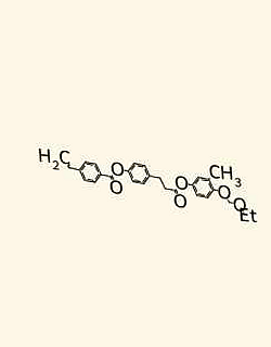 C=Cc1ccc(C(=O)Oc2ccc(CCC(=O)Oc3ccc(OCOCC)c(C)c3)cc2)cc1